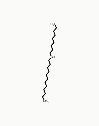 CCCCCCCCCCCC[SiH2]CCCCCCCCC